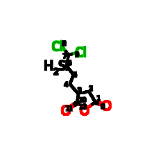 O=C1CC(CC[SiH2]C(Cl)Cl)C(=O)O1